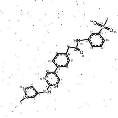 Cn1cc(Nc2ncc(-c3ccc(CC(=O)Nc4cccc(S(C)(=O)=O)c4)cc3)cn2)cn1